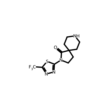 O=C1N(c2nnc(C(F)(F)F)s2)CCC12CCNCC2